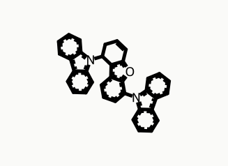 C1=Cc2oc3c(-n4c5ccccc5c5ccccc54)cccc3c2C(n2c3ccccc3c3ccccc32)C1